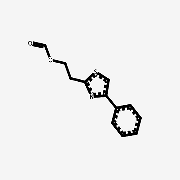 O=COCCc1nc(-c2ccccc2)cs1